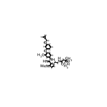 CNc1ccn(CCNC(=O)CC(C)(C)O)c1C(=N)Nc1ccc(Oc2cccc(OCC3CC3)c2)c(C)c1